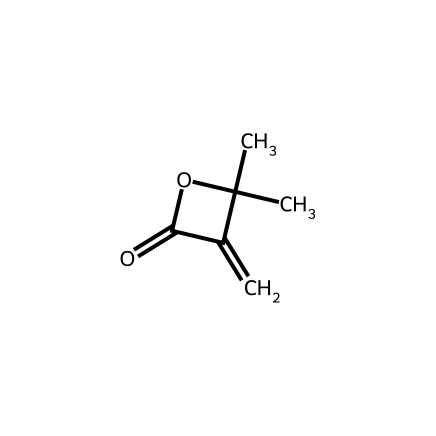 C=C1C(=O)OC1(C)C